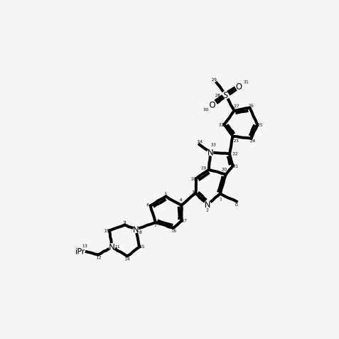 Cc1nc(-c2ccc(N3CCN(CC(C)C)CC3)cc2)cc2c1cc(-c1cccc(S(C)(=O)=O)c1)n2C